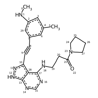 CNc1cc(C)cc(C#Cc2n[nH]c3ncnc(NCCC(=O)N4CCCC4)c23)c1